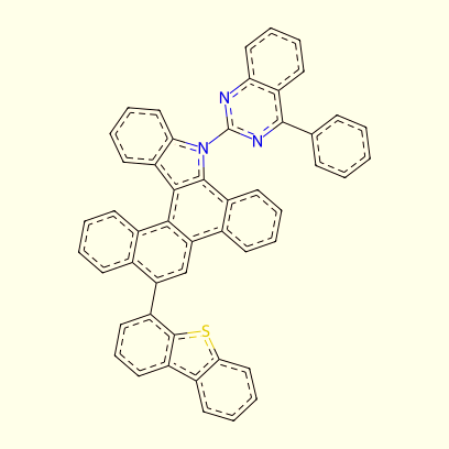 c1ccc(-c2nc(-n3c4ccccc4c4c5c6ccccc6c(-c6cccc7c6sc6ccccc67)cc5c5ccccc5c43)nc3ccccc23)cc1